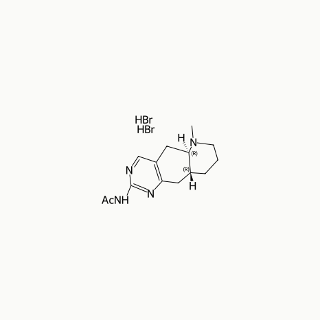 Br.Br.CC(=O)Nc1ncc2c(n1)C[C@H]1CCCN(C)[C@@H]1C2